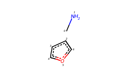 CN.c1ccoc1